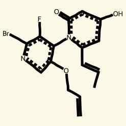 C=CCOc1cnc(Br)c(F)c1-n1c(C=CC)cc(O)cc1=O